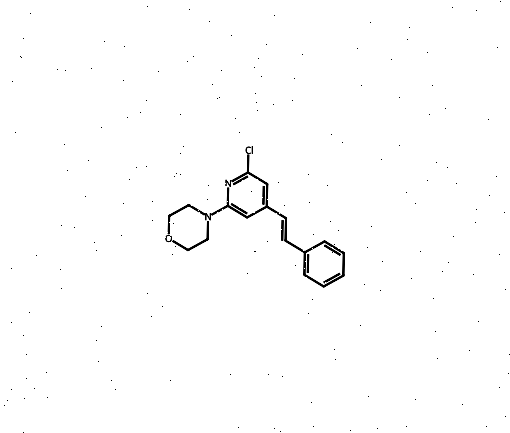 Clc1cc(C=Cc2ccccc2)cc(N2CCOCC2)n1